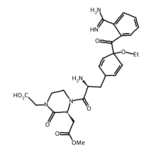 CCOC1(C(=O)c2ccccc2C(=N)N)C=CC(C[C@H](N)C(=O)N2CCN(CC(=O)O)C(=O)[C@@H]2CC(=O)OC)C=C1